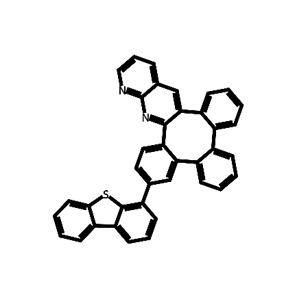 c1ccc2c(c1)-c1ccccc1-c1cc3cccnc3nc1-c1ccc(-c3cccc4c3sc3ccccc34)cc1-2